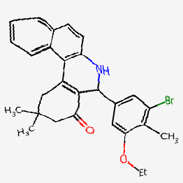 CCOc1cc(C2Nc3ccc4ccccc4c3C3=C2C(=O)CC(C)(C)C3)cc(Br)c1C